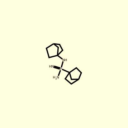 N=P(N)(NC12CCC(CC1)C2)C12CCC(CC1)C2